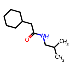 CC(C)CNC(=O)CC1CCCCC1